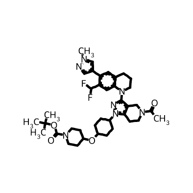 CC(=O)N1CCc2c(c(N3CCCc4cc(-c5cnn(C)c5)c(C(F)F)cc43)nn2C2CCC(OC3CCN(C(=O)OC(C)(C)C)CC3)CC2)C1